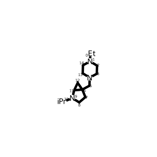 CCN1CCN(CC23CCN(C(C)C)C2C3)CC1